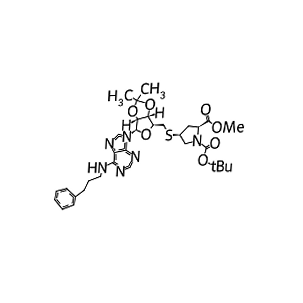 COC(=O)[C@@H]1C[C@H](SC[C@H]2O[C@@H](n3cnc4c(NCCCc5ccccc5)ncnc43)[C@@H]3OC(C)(C)O[C@@H]32)CN1C(=O)OC(C)(C)C